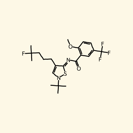 COc1ccc(C(F)(F)F)cc1C(=O)N=c1sn(C(C)(C)C)cc1CCCC(C)(C)F